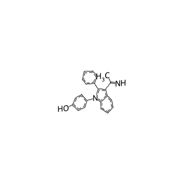 CC(=N)c1c(-c2ccccc2)n(-c2ccc(O)cc2)c2ccccc12